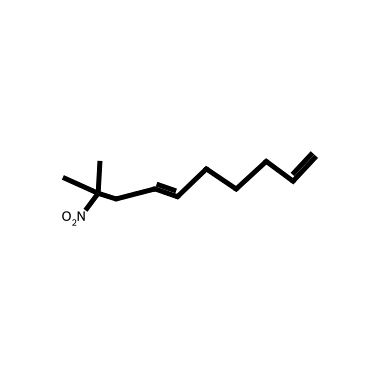 C=CCCC/C=C/CC(C)(C)[N+](=O)[O-]